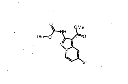 COC(=O)c1c(NC(=O)OC(C)(C)C)nn2ccc(Br)cc12